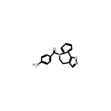 Nc1ccc(C(=O)N2CCc3cnoc3-c3ccccc32)cc1